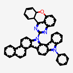 C1=CC2Oc3cccc4nc(-n5c6ccc7c8ccccc8ccc7c6c6ccc7c(c8ccccc8n7-c7ccccc7)c65)nc(c34)C2C=C1